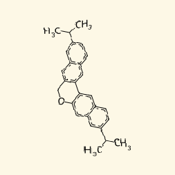 CC(C)c1ccc2cc3c(cc2c1)COc1cc2cc(C(C)C)ccc2cc1-3